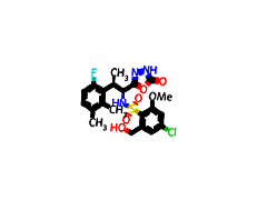 COc1cc(Cl)cc(CO)c1S(=O)(=O)N[C@H](c1n[nH]c(=O)o1)[C@H](C)c1c(F)ccc(C)c1C